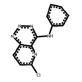 Clc1ccc2nnnc(Nc3ccccc3)c2n1